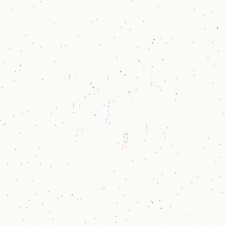 CC(=O)N(C)C(C(C)(C)C)C(C)(C)C